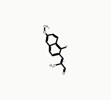 COc1ccc2c(F)c(/C=C(\C)C=O)ccc2c1